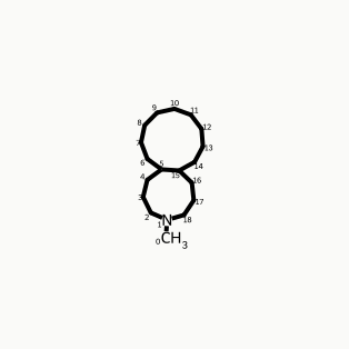 CN1CCCC2CCCCCCCCCC2CCC1